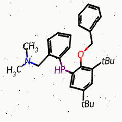 CN(C)Cc1ccccc1Pc1cc(C(C)(C)C)cc(C(C)(C)C)c1OCc1ccccc1